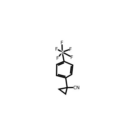 N#CC1(c2ccc(S(F)(F)(F)(F)F)cc2)CC1